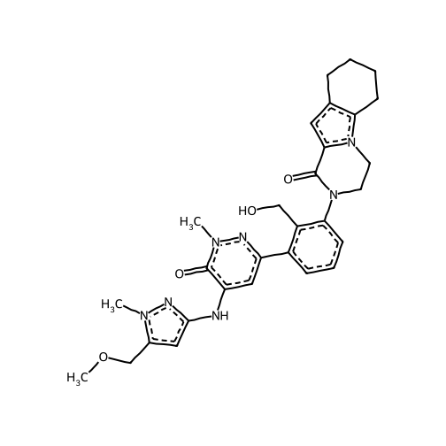 COCc1cc(Nc2cc(-c3cccc(N4CCn5c(cc6c5CCCC6)C4=O)c3CO)nn(C)c2=O)nn1C